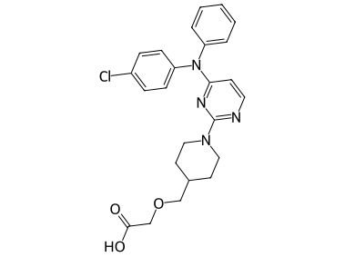 O=C(O)COCC1CCN(c2nccc(N(c3ccccc3)c3ccc(Cl)cc3)n2)CC1